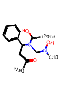 CCCCCC(O)N(CN(O)C=O)C(CC(=O)OC)c1ccccc1